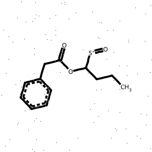 CCCC(OC(=O)Cc1ccccc1)[S+]=O